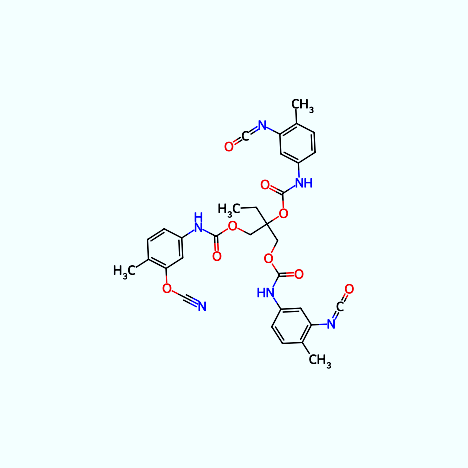 CCC(COC(=O)Nc1ccc(C)c(N=C=O)c1)(COC(=O)Nc1ccc(C)c(OC#N)c1)OC(=O)Nc1ccc(C)c(N=C=O)c1